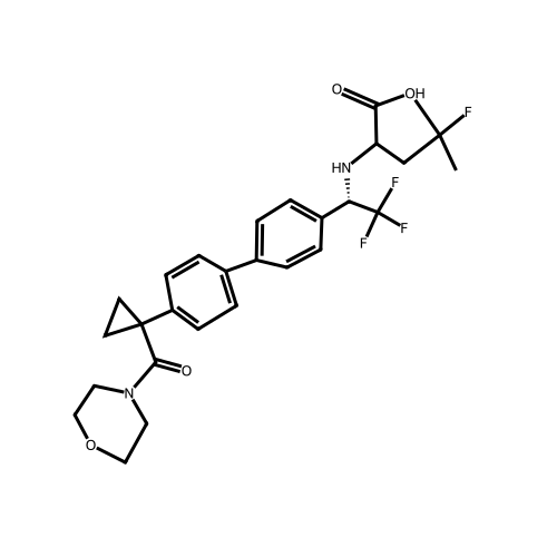 CC(C)(F)CC(N[C@@H](c1ccc(-c2ccc(C3(C(=O)N4CCOCC4)CC3)cc2)cc1)C(F)(F)F)C(=O)O